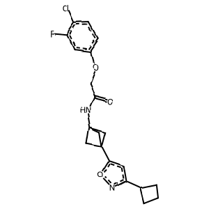 O=C(COc1ccc(Cl)c(F)c1)NC12CC(c3cc(C4CCC4)no3)(C1)C2